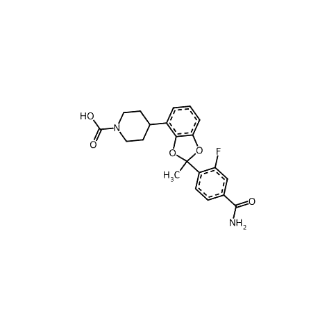 CC1(c2ccc(C(N)=O)cc2F)Oc2cccc(C3CCN(C(=O)O)CC3)c2O1